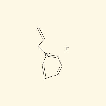 C=CC[n+]1ccccc1.[I-]